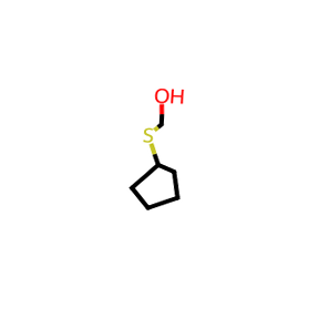 OCSC1CCCC1